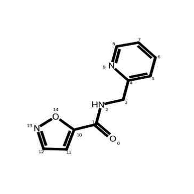 O=C(NCc1ccccn1)c1ccno1